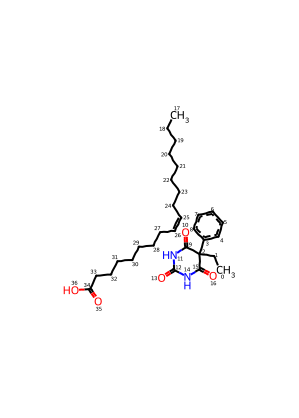 CCC1(c2ccccc2)C(=O)NC(=O)NC1=O.CCCCCCCC/C=C\CCCCCCCC(=O)O